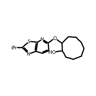 CC(C)c1nc2ccc(OC3CCCCCCCC3O)nc2s1